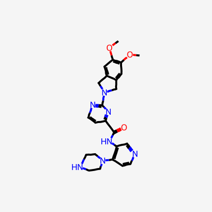 COc1cc2c(cc1OC)CN(c1nccc(C(=O)Nc3cnccc3N3CCNCC3)n1)C2